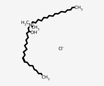 CCCCCCCC/C=C\CCCCCCCCC(O)C[N+](C)(C)CCCCCCCCCCCCCCCC.[Cl-]